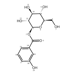 O=C(O[C@@H]1O[C@H](CO)[C@@H](O)[C@H](O)[C@H]1O)c1cccc(O)c1